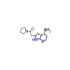 Bc1ccnc2[nH]c(CC(=O)N3CCCC3)cc12